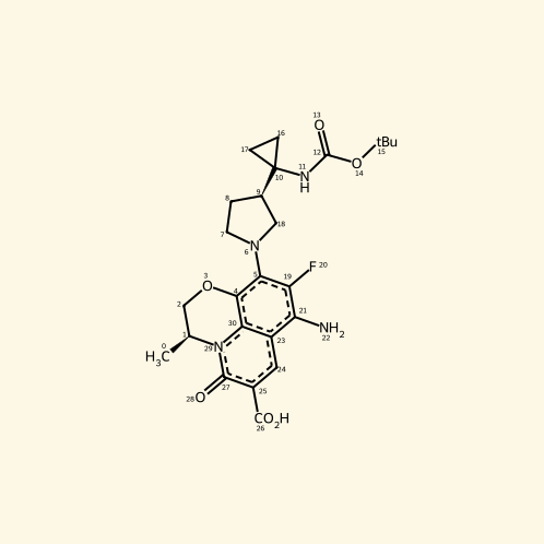 C[C@H]1COc2c(N3CC[C@@H](C4(NC(=O)OC(C)(C)C)CC4)C3)c(F)c(N)c3cc(C(=O)O)c(=O)n1c23